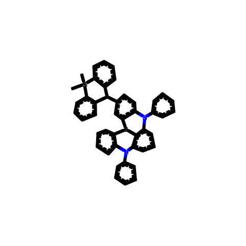 C[Si]1(C)c2ccccc2C(c2ccc3c(c2)B2c4ccccc4N(c4ccccc4)c4cccc(c42)N3c2ccccc2)c2ccccc21